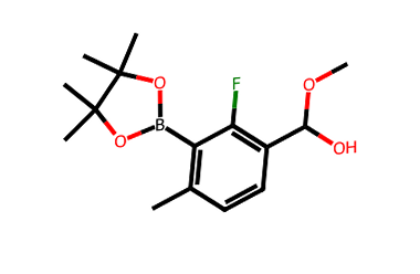 COC(O)c1ccc(C)c(B2OC(C)(C)C(C)(C)O2)c1F